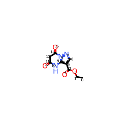 CCOC(=O)c1cnn2c1NC(=O)CC2=O